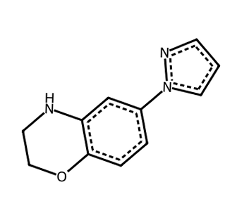 c1cnn(-c2ccc3c(c2)NCCO3)c1